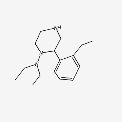 CCc1ccccc1C1CNCCN1N(CC)CC